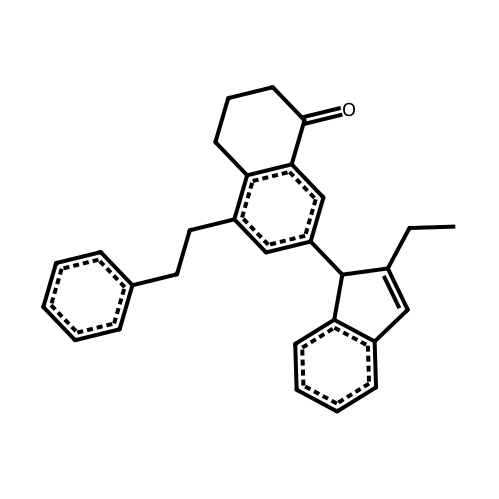 CCC1=Cc2ccccc2C1c1cc(CCc2ccccc2)c2c(c1)C(=O)CCC2